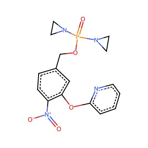 O=[N+]([O-])c1ccc(COP(=O)(N2CC2)N2CC2)cc1Oc1ccccn1